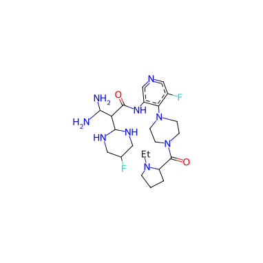 CCN1CCCC1C(=O)N1CCN(c2c(F)cncc2NC(=O)C(C(N)N)C2NCC(F)CN2)CC1